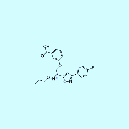 CCCO/N=C(\COc1cccc(C(=O)O)c1)c1cc(-c2ccc(F)cc2)no1